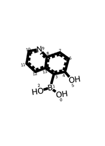 OB(O)c1c(O)ccc2ncccc12